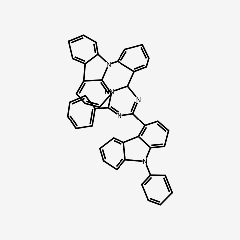 c1ccc(C2=NC(c3cccc4c3c3ccccc3n4-c3ccccc3)=NC(c3ccccc3-n3c4ccccc4c4ccccc43)N2)cc1